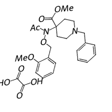 COC(=O)C1(N(OCc2ccccc2OC)C(C)=O)CCN(Cc2ccccc2)CC1.O=C(O)C(=O)O